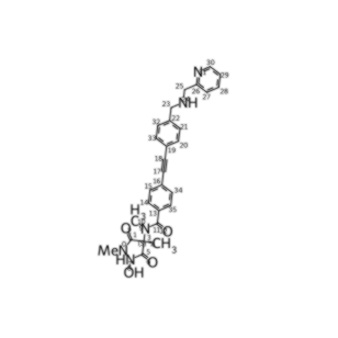 CNC(=O)[C@@](C)(C(=O)NO)N(C)C(=O)c1ccc(C#Cc2ccc(CNCc3ccccn3)cc2)cc1